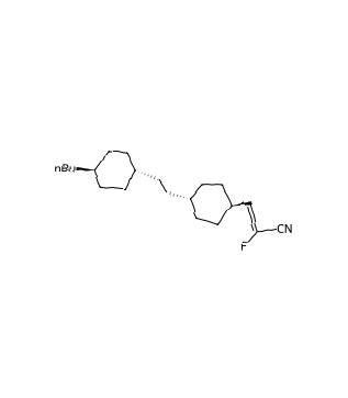 CCCC[C@H]1CC[C@H](CC[C@H]2CC[C@H](C=C(F)C#N)CC2)CC1